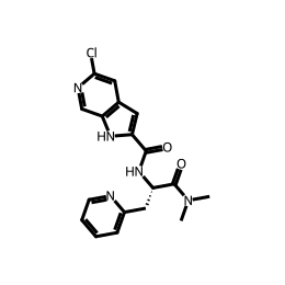 CN(C)C(=O)[C@H](Cc1ccccn1)NC(=O)c1cc2cc(Cl)ncc2[nH]1